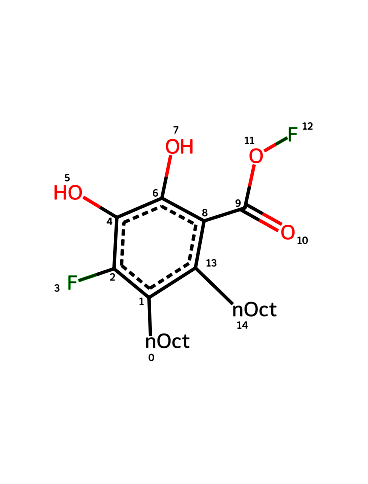 CCCCCCCCc1c(F)c(O)c(O)c(C(=O)OF)c1CCCCCCCC